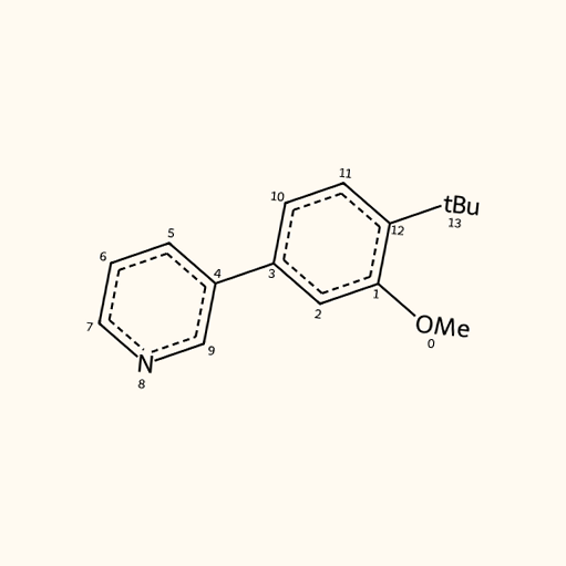 COc1cc(-c2cccnc2)ccc1C(C)(C)C